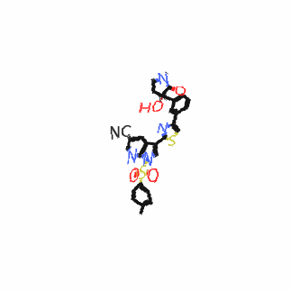 Cc1ccc(S(=O)(=O)n2cc(-c3nc(-c4cccc([C@]5(O)CCN(C)C5=O)c4)cs3)c3cc(C#N)cnc32)cc1